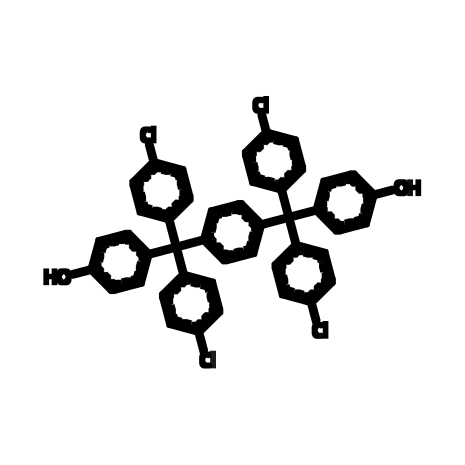 Oc1ccc(C(c2ccc(Cl)cc2)(c2ccc(Cl)cc2)c2ccc(C(c3ccc(O)cc3)(c3ccc(Cl)cc3)c3ccc(Cl)cc3)cc2)cc1